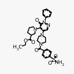 CCOC(=O)C1CCCN(c2c(N3CCN(C(=O)c4ccc(S(N)(=O)=O)cc4)CC3)cnn(-c3ccccc3)c2=O)C1